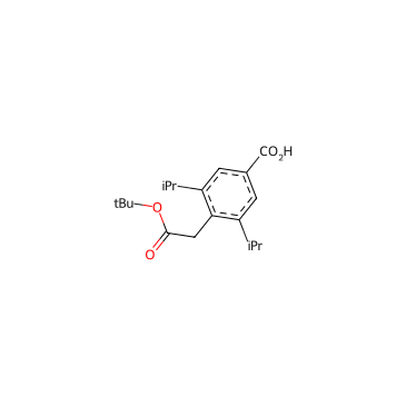 CC(C)c1cc(C(=O)O)cc(C(C)C)c1CC(=O)OC(C)(C)C